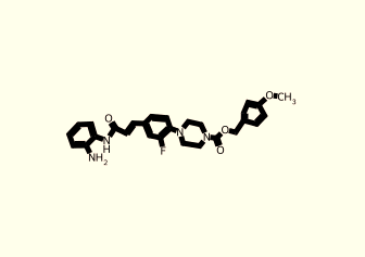 COc1ccc(COC(=O)N2CCN(c3ccc(/C=C/C(=O)Nc4ccccc4N)cc3F)CC2)cc1